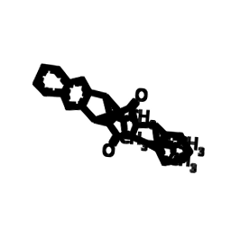 CC(C)=C1C2C3=C(C(=O)C4C5C(=C(C)C)C(c6ccccc65)C4C3=O)C1c1cc3ccccc3cc12